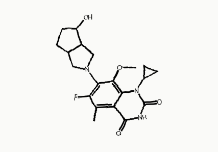 COc1c(N2CC3CCC(O)C3C2)c(F)c(C)c2c(=O)[nH]c(=O)n(C3CC3)c12